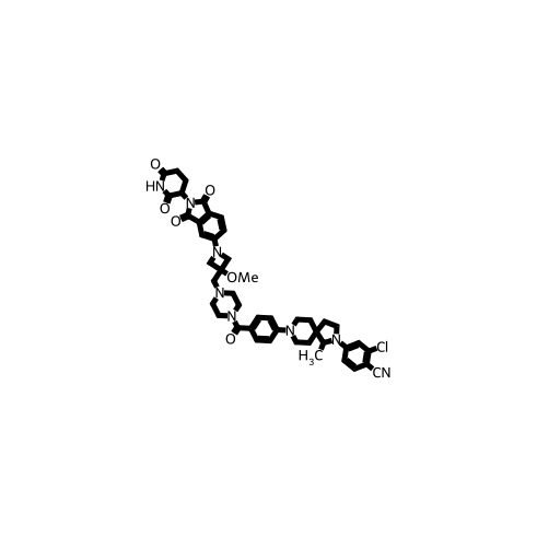 COC1(CN2CCN(C(=O)c3ccc(N4CCC5(CC4)CCN(c4ccc(C#N)c(Cl)c4)C5C)cc3)CC2)CN(c2ccc3c(c2)C(=O)N(C2CCC(=O)NC2=O)C3=O)C1